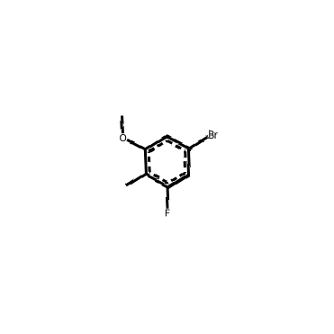 COc1cc(Br)cc(F)c1C